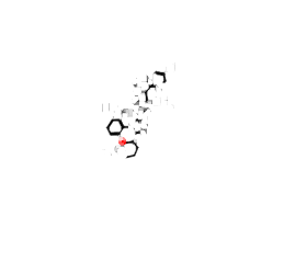 COc1cccc(OC)c1-n1c(NS(=O)(=O)[C@@H](C)[C@H](OC)c2ncc(Cl)cn2)nnc1[C@@H]1CCCOC1